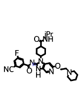 CC(C)NC(=O)C1CCC(n2/c(=N/C(=O)c3cc(F)cc(C#N)c3)[nH]c3cnc(OCCN4CCCCC4)cc32)CC1